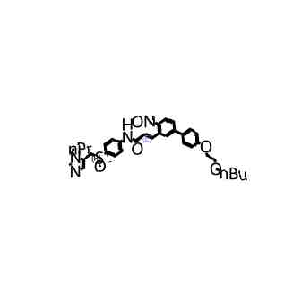 CCCCOCCOc1ccc(-c2ccc(N=O)c(/C=C/C(=O)Nc3ccc([S@@+]([O-])Cc4cncn4CCC)cc3)c2)cc1